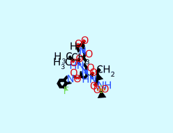 C=CC1C[C@]1(NC(=O)[C@@H]1CC(OC(=O)N2Cc3cccc(F)c3C2)CN1C(=O)[C@H](CCC(=O)N1C[C@H]2CC1C(=O)O2)NC(=O)OC(C)(C)C)C(=O)NS(=O)(=O)C1CC1